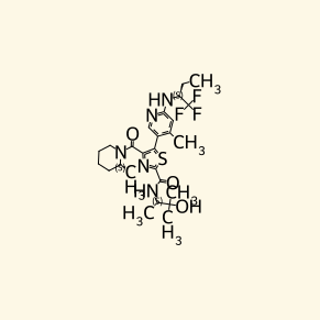 CC[C@H](Nc1cc(C)c(-c2sc(C(=O)N[C@@H](C)C(C)(C)O)nc2C(=O)N2CCCC[C@@H]2C)cn1)C(F)(F)F